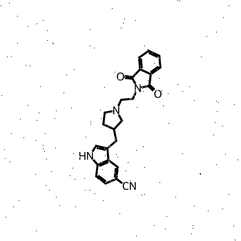 N#Cc1ccc2[nH]cc(CC3CCN(CCN4C(=O)c5ccccc5C4=O)C3)c2c1